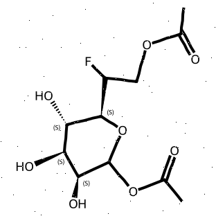 CC(=O)OCC(F)[C@H]1OC(OC(C)=O)[C@@H](O)[C@@H](O)[C@@H]1O